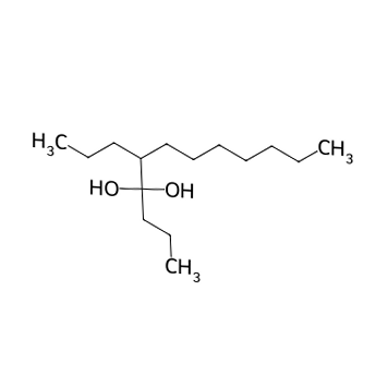 CCCCCCCC(CCC)C(O)(O)CCC